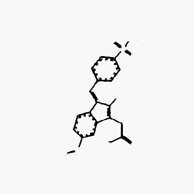 COc1ccc2c(c1)C(CC(=O)Cl)=C(C)C2=Cc1ccc(S(C)(=O)=O)cc1